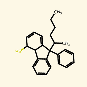 CCCCC(C)C1(c2ccccc2)C2=CC=CC(S)C2c2ccccc21